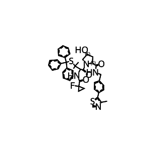 Cc1ncsc1-c1ccc(CNC(=O)[C@@H]2C[C@H](O)CN2C(=O)C(NC(=O)C2(F)CC2)C(C)(C)SC(c2ccccc2)(c2ccccc2)c2ccccc2)cc1